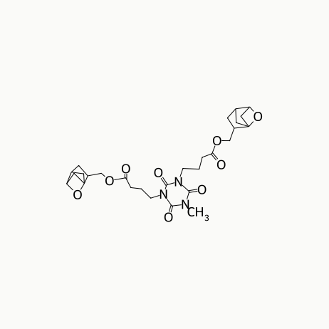 Cn1c(=O)n(CCCC(=O)OCC2CC3CC24CC3O4)c(=O)n(CCCC(=O)OCC2CC3CC24CC3O4)c1=O